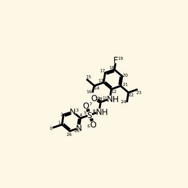 Cc1cnc(S(=O)(=O)NC(=O)Nc2c(C(C)C)cc(F)cc2C(C)C)nc1